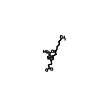 CCCCCCCCCCCCCC(=O)[O-].OB(O)O.[Na+]